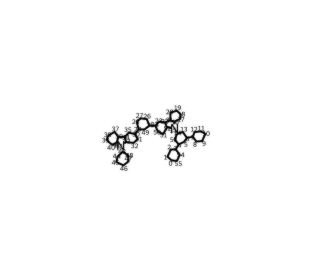 C1CCC(C2CC(C3CCCCC3)CC(N3C4CCCCC4C4CC(C5CCCC(C6CCC7C(C6)C6CCCCC6N7C6CCCCC6)C5)CCC43)C2)CC1